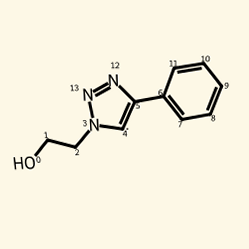 OCCn1[c]c(-c2ccccc2)nn1